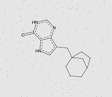 O=c1[nH]cnc2c(CC34CCCC(CC3)C4)c[nH]c12